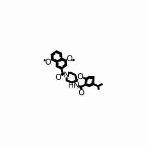 COc1cc(C(=O)N2CCC3(CC2)NC(=O)c2cc(C(C)C)ccc2O3)cc2c(OC)cccc12